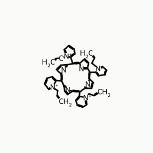 C=CC[n+]1ccccc1C1=C2C=CC(=N2)C(c2cccc[n+]2CC=C)=C2C=CC(=N2)C(c2cccc[n+]2CC=C)=C2C=CC(=N2)C(c2cccc[n+]2CC=C)=C2C=CC1=N2